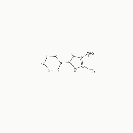 O=Cc1sc(N2CCOCC2)nc1C(F)(F)F